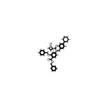 O=C(OCc1ccccc1)c1ccc(N(Cc2ccc(C3CCCCC3)cc2)C(=O)[C@H]2CCN2)cc1OCc1ccccc1